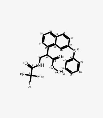 COC(=O)C(CNC(=O)C(F)(F)F)c1cccc2ccc(Sc3ccccc3)cc12